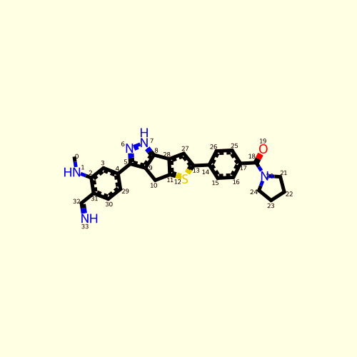 CNc1cc(-c2n[nH]c3c2Cc2sc(-c4ccc(C(=O)N5CCCC5)cc4)cc2-3)ccc1C=N